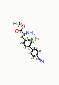 COC(=O)[C@@H](N)Cc1ccc(-c2ccc(C#N)cc2)cc1.Cl